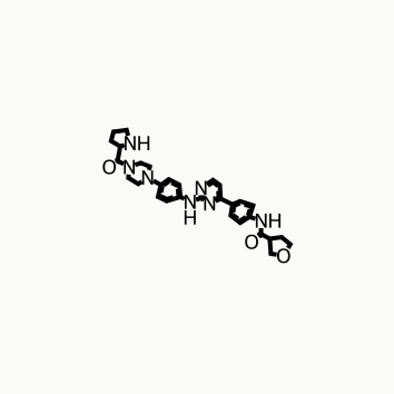 O=C(Nc1ccc(-c2ccnc(Nc3ccc(N4CCN(C(=O)C5CCCN5)CC4)cc3)n2)cc1)C1CCOC1